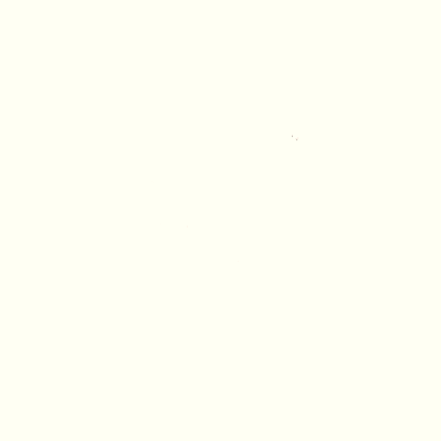 COC(F)(Cc1ccccc1)C1CCC(CC#N)O1